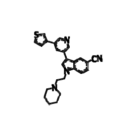 N#Cc1ccc2c(c1)c(-c1cncc(-c3ccsc3)c1)cn2CCN1CCCCC1